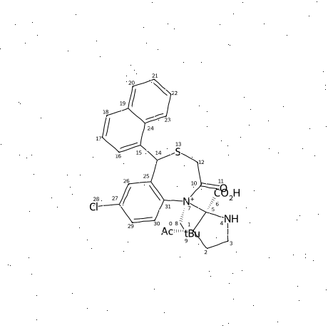 CC(=O)[C@H]1CCN[C@]1(C(=O)O)[N@+]1(CC(C)(C)C)C(=O)CSC(c2cccc3ccccc23)c2cc(Cl)ccc21